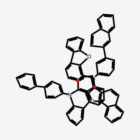 c1ccc(-c2ccc(N(c3ccccc3-c3cccc(N(c4cccc(-c5ccc6ccccc6c5)c4)c4cccc5c4oc4ccccc45)c3)c3cccc4c3oc3c5ccccc5ccc43)cc2)cc1